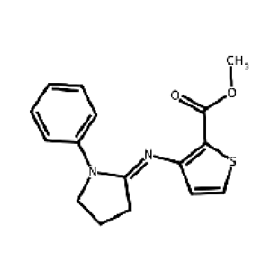 COC(=O)c1sccc1N=C1CCCN1c1ccccc1